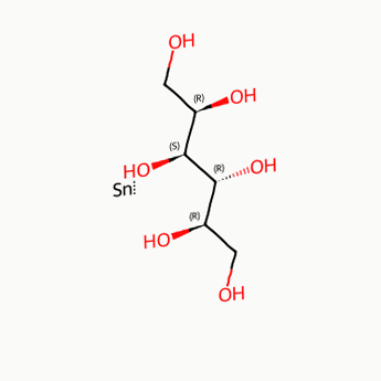 OC[C@@H](O)[C@H](O)[C@H](O)[C@H](O)CO.[Sn]